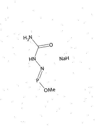 COP=NNC(N)=O.[NaH]